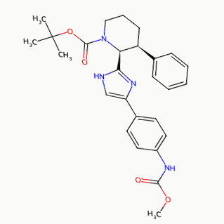 COC(=O)Nc1ccc(-c2c[nH]c([C@@H]3[C@H](c4ccccc4)CCCN3C(=O)OC(C)(C)C)n2)cc1